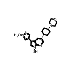 Cn1cc(-c2cn(S)c3ncc([C@H]4CC[C@H](N5CCOCC5)CC4)cc23)cn1